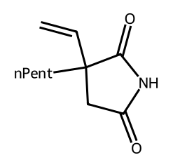 C=CC1(CCCCC)CC(=O)NC1=O